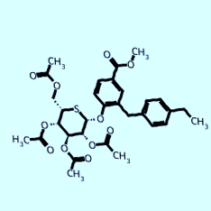 CCc1ccc(Cc2cc(C(=O)OC)ccc2O[C@H]2S[C@@H](COC(C)=O)[C@@H](OC(C)=O)[C@H](OC(C)=O)[C@H]2OC(C)=O)cc1